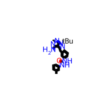 Cc1cccc(NC(=O)Nc2cccc(Cc3nn(C(C)(C)C)c4ncnc(N)c34)c2)c1